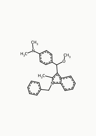 COC(c1ccc(N(C)C)cc1)c1c(C)n(Cc2ccccc2)c2ccccc12